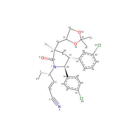 CC[C@@H](C=CC#N)N1C(=O)[C@@](C)(CC2COC(C)(C)O2)C[C@H](c2cccc(Cl)c2)[C@H]1c1ccc(Cl)cc1